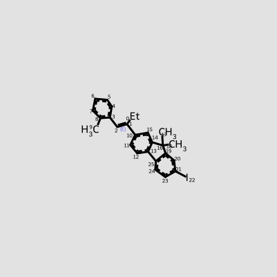 CC/C(=C\c1ccccc1C)c1ccc2c(c1)C(C)(C)c1cc(I)ccc1-2